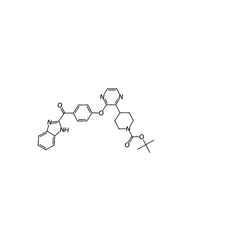 CC(C)(C)OC(=O)N1CCC(c2nccnc2Oc2ccc(C(=O)c3nc4ccccc4[nH]3)cc2)CC1